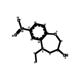 CCN1CC(O)COc2ccc([N+](=O)[O-])cc21